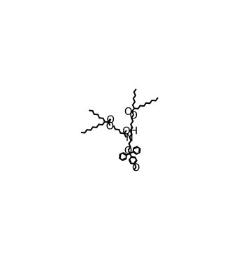 CCCCCCCCC(CCCCCC)C(=O)OCCCCCCN(CCCOC(c1ccccc1)(c1ccccc1)c1ccc(OC)cc1)CC(O)CCCCOC(=O)C(CCCCCC)CCCCCCCC